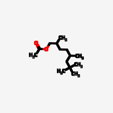 CC(=O)OCC(C)CCC(C)CC(C)(C)C